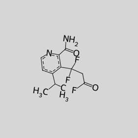 CC(C)c1ccnc(C(N)=O)c1C(F)(F)CC(=O)F